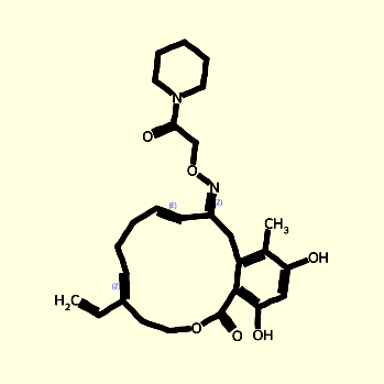 C=C/C1=C\CC/C=C/C(=N\OCC(=O)N2CCCCC2)Cc2c(C)c(O)cc(O)c2C(=O)OCC1